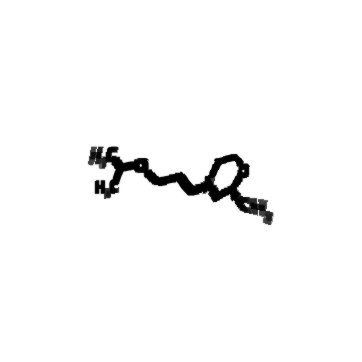 CC(C)OCCCN1CCO[C@@H](C)C1